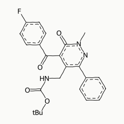 Cn1nc(-c2ccccc2)c(CNC(=O)OC(C)(C)C)c(C(=O)c2ccc(F)cc2)c1=O